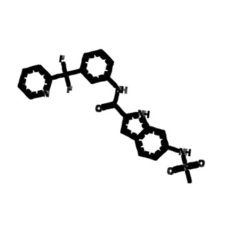 CS(=O)(=O)Nc1ccc2cc(C(=O)Nc3cccc(C(F)(F)c4ccccn4)c3)[nH]c2c1